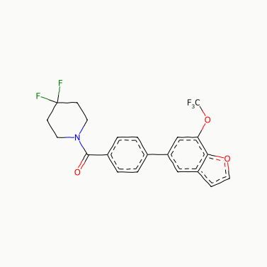 O=C(c1ccc(-c2cc(OC(F)(F)F)c3occc3c2)cc1)N1CCC(F)(F)CC1